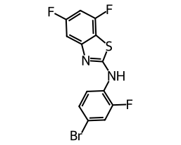 Fc1cc(F)c2sc(Nc3ccc(Br)cc3F)nc2c1